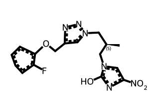 C[C@H](Cn1cc(COc2ccccc2F)nn1)Cn1cc([N+](=O)[O-])nc1O